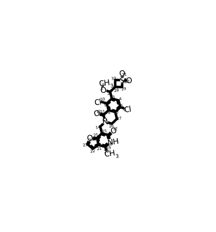 COC(c1cc(Cl)c2c(c1Cl)C(=O)N(Cc1c(=O)[nH]c(C)c3ccoc13)CC2)C1CS(=O)(=O)C1